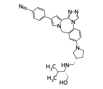 CC(C)[C@@H](CO)NC[C@H]1CCN(c2ccc3c(c2)Cn2cc(-c4ccc(C#N)cc4)cc2-c2nncn2-3)C1